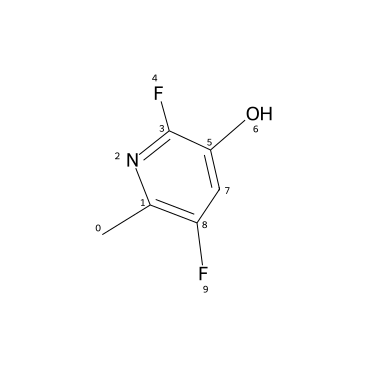 Cc1nc(F)c(O)cc1F